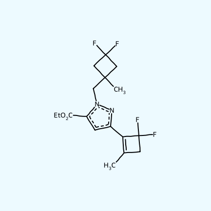 CCOC(=O)c1cc(C2=C(C)CC2(F)F)nn1CC1(C)CC(F)(F)C1